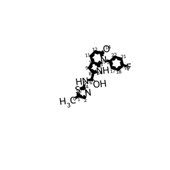 Cc1cnc(NC(O)c2cc3ccc(=O)n(-c4ccc(F)cc4)c3[nH]2)s1